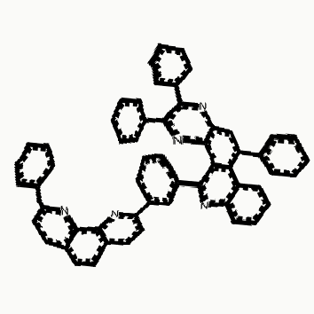 c1ccc(-c2ccc3ccc4ccc(-c5cccc(-c6nc7ccccc7c7c(-c8ccccc8)cc8nc(-c9ccccc9)c(-c9ccccc9)nc8c67)c5)nc4c3n2)cc1